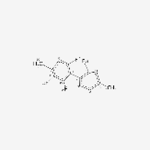 Cc1ccc(-c2c(F)cc(C)c(F)c2F)c(F)c1